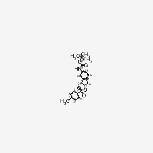 Cc1ccc(S(=O)(=O)OC2Cc3ccc(NC(=O)OC(C)(C)C)cc3C2)cc1